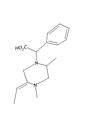 C/C=C1/CN(C(C(=O)O)c2ccccc2)C(C)CN1C